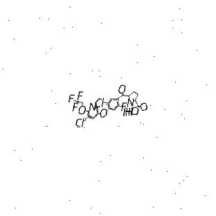 O=C(O)C1CCC(C(=O)c2cc(Cl)c(Oc3cnc(OCC(F)(F)F)c(Cl)c3)cc2F)N1